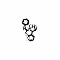 CN1C(=Nc2ccccc2)Sc2ncccc2C1C=O